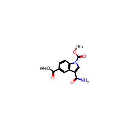 COC(=O)c1ccc2c(c1)c(C(N)=O)cn2C(=O)OC(C)(C)C